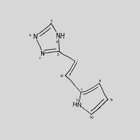 C(=Cc1nnc[nH]1)c1ccc[nH]1